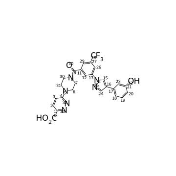 O=C(O)c1ccc(N2CCN(C(=O)c3cc(-n4cc(-c5cccc(O)c5)cn4)cc(C(F)(F)F)c3)CC2)nn1